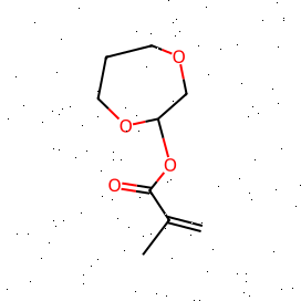 C=C(C)C(=O)OC1COCCCO1